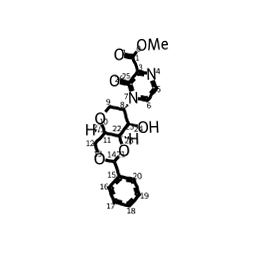 COC(=O)c1nccn([C@H]2CO[C@@H]3COC(c4ccccc4)O[C@@H]3[C@@H]2O)c1=O